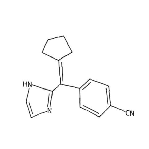 N#Cc1ccc(C(=C2CCCC2)c2ncc[nH]2)cc1